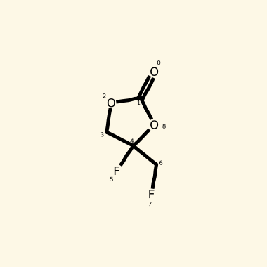 O=C1OCC(F)(CF)O1